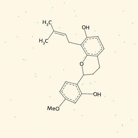 COc1ccc(C2CCc3ccc(O)c(CC=C(C)C)c3O2)c(O)c1